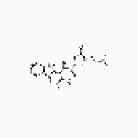 COc1c(I)cc2c([nH]c3cnccc32)c1NC(=O)C1CC(=O)N(CCN(C)C)C1